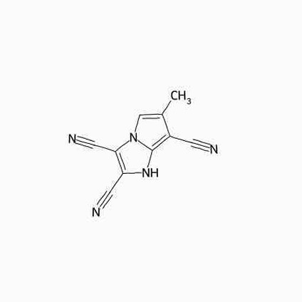 Cc1cn2c(C#N)c(C#N)[nH]c2c1C#N